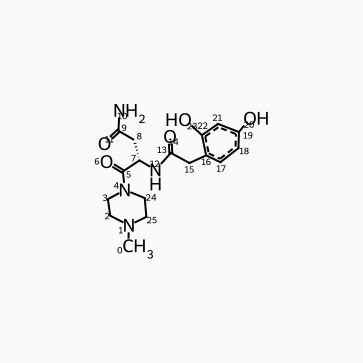 CN1CCN(C(=O)[C@H](CC(N)=O)NC(=O)Cc2ccc(O)cc2O)CC1